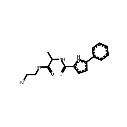 CC(NC(=O)c1ccc(-c2ccccc2)[nH]1)C(=O)NCCO